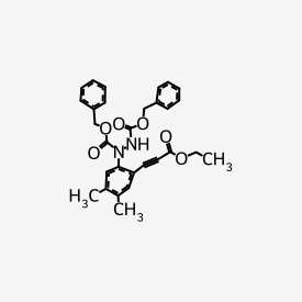 CCOC(=O)C#Cc1cc(C)c(C)cc1N(NC(=O)OCc1ccccc1)C(=O)OCc1ccccc1